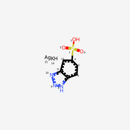 O=S(=O)(O)c1ccc2[nH]nnc2c1.[Ag].[KH]